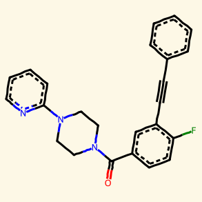 O=C(c1ccc(F)c(C#Cc2ccccc2)c1)N1CCN(c2ccccn2)CC1